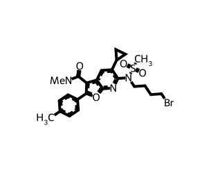 CNC(=O)c1c(-c2ccc(C)cc2)oc2nc(N(CCCCBr)S(C)(=O)=O)c(C3CC3)cc12